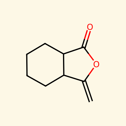 C=C1OC(=O)C2CCCCC12